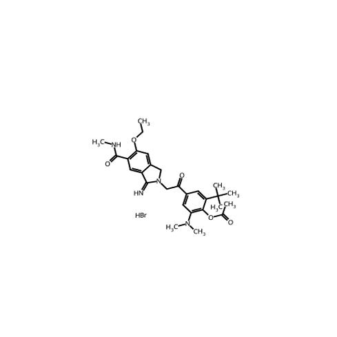 Br.CCOc1cc2c(cc1C(=O)NC)C(=N)N(CC(=O)c1cc(N(C)C)c(OC(C)=O)c(C(C)(C)C)c1)C2